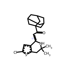 CC1(C)Cc2sc(Cl)cc2/C(=C/C(=O)C23CC4CC(CC(C4)C2)C3)N1